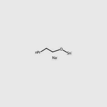 CCCCC[O][Sn].[Na]